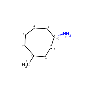 CC1CCCC[C@H](N)CC1